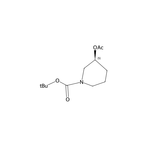 CC(=O)O[C@H]1CCCN(C(=O)OC(C)(C)C)C1